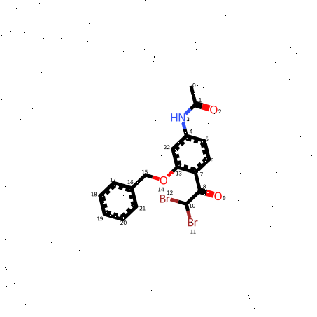 CC(=O)Nc1ccc(C(=O)C(Br)Br)c(OCc2ccccc2)c1